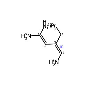 CC(C)C/C(C=C(N)N)=C/N